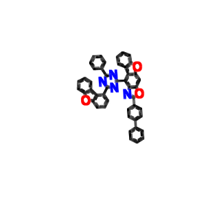 c1ccc(-c2ccc(-c3nc4c(-c5nc(-c6ccccc6)nc(-c6cccc7oc8ccccc8c67)n5)c5c(cc4o3)oc3ccccc35)cc2)cc1